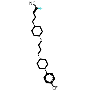 N#CC(F)=CCC[C@H]1CC[C@H](CCCC[C@H]2CC[C@H](c3ccc(C(F)(F)F)cc3)CC2)CC1